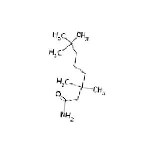 CC(C)(C)CCCC(C)(C)CC(N)=O